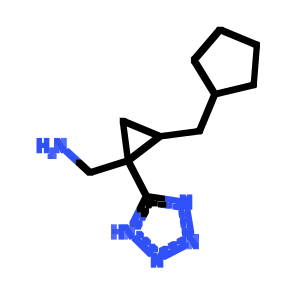 NCC1(c2nnn[nH]2)CC1CC1CCCC1